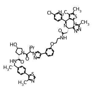 Cc1ncsc1-c1ccc([C@H](C)NC(=O)[C@@H]2C[C@@H](O)CN2C(=O)C(C(C)C)n2cc(-c3cccc(OCCNC(=O)C[C@@H]4N=C(c5ccc(Cl)cc5)c5c(sc(C)c5C)-n5c(C)nnc54)c3)cn2)cc1